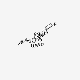 COc1cc(Br)c(S(=O)(=O)NCc2ccc(F)cc2)cc1OC